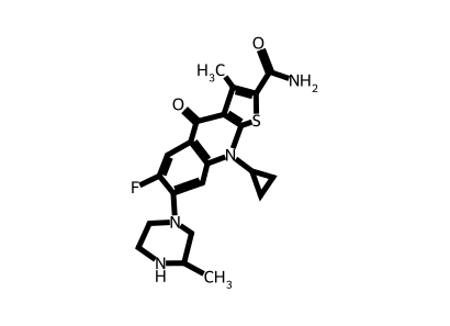 Cc1c(C(N)=O)sc2c1c(=O)c1cc(F)c(N3CCNC(C)C3)cc1n2C1CC1